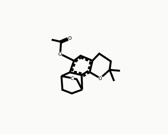 CC(=O)Oc1cc2c(c3c1C1CCC3CC1)OC(C)(C)CC2